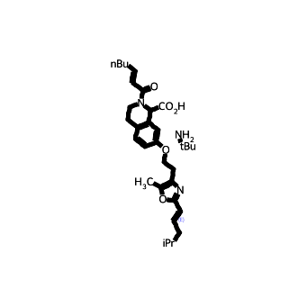 CC(C)(C)N.CCCCC=CC(=O)N1CCc2ccc(OCCc3nc(/C=C/CC(C)C)oc3C)cc2C1C(=O)O